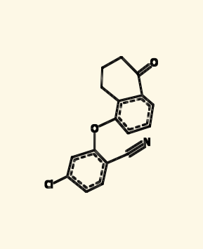 N#Cc1ccc(Cl)cc1Oc1cccc2c1CCCC2=O